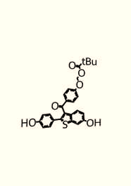 CC(C)(C)C(=O)OCOc1ccc(C(=O)c2c(-c3ccc(O)cc3)sc3cc(O)ccc23)cc1